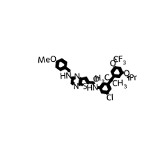 COc1ccc(CNc2cnc3sc(C(=O)Nc4cc(Cl)cc(C(C)(C)c5cc(OC(C)C)cc(OC(F)(F)F)c5)c4)cc3n2)cc1